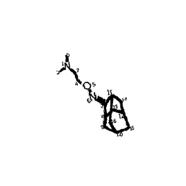 CN(C)CCON=C1C2CC3CC(C2)CC1C3